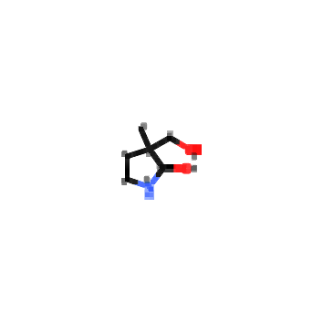 CC1(CO)CCNC1=O